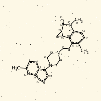 Cc1ccc2c(N3CCN(CCc4c(C)ccc5c4C4CC4C(=O)N5C)CC3)cccc2n1